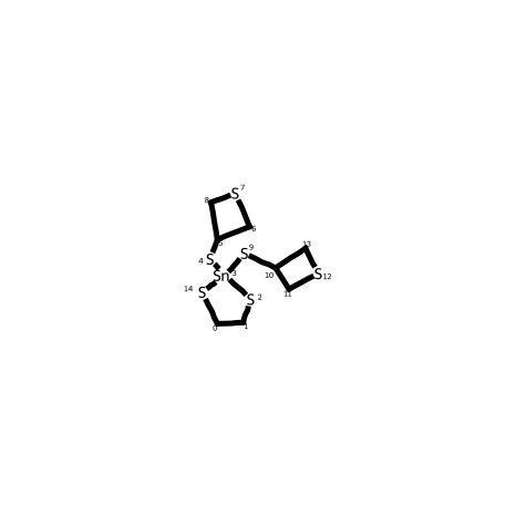 C1C[S][Sn]([S]C2CSC2)([S]C2CSC2)[S]1